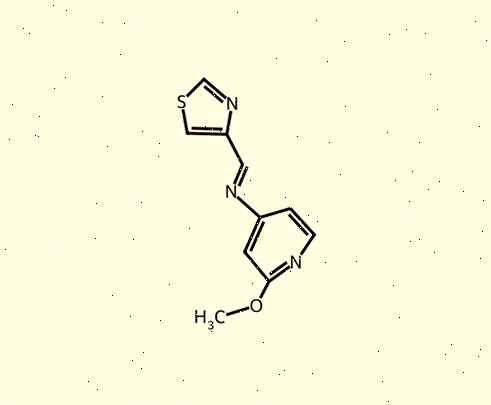 COc1cc(N=Cc2cscn2)ccn1